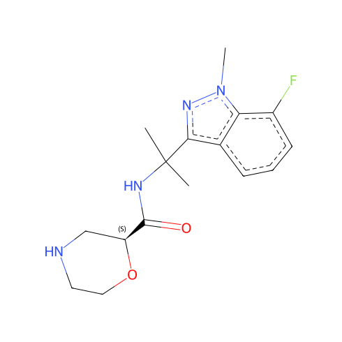 Cn1nc(C(C)(C)NC(=O)[C@@H]2CNCCO2)c2cccc(F)c21